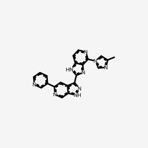 Cc1cn(-c2nccc3[nH]c(-c4n[nH]c5cnc(-c6cccnc6)cc45)nc23)cn1